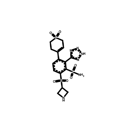 NS(=O)(=O)c1c(S(=O)(=O)C2CNC2)ccc(C2=CCS(=O)(=O)CC2)c1-c1nn[nH]n1